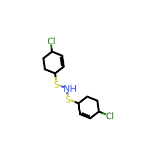 ClC1C=CC(SNSC2C=CC(Cl)CC2)CC1